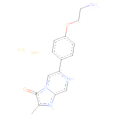 Br.Br.Cc1nc2c[nH]c(-c3ccc(OCCN)cc3)cn-2c1=O